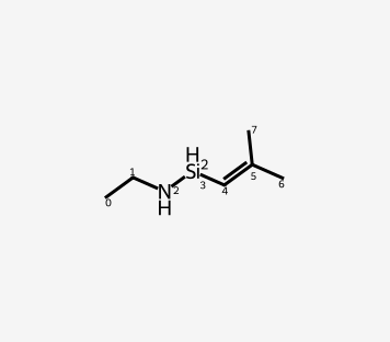 CCN[SiH2]C=C(C)C